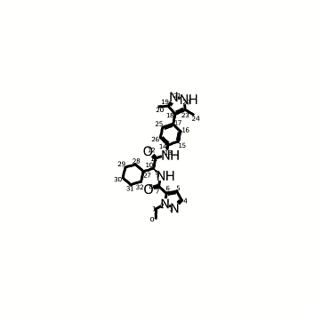 CCn1nccc1C(=O)N[C@H](C(=O)Nc1ccc(-c2c(C)n[nH]c2C)cc1)C1CCCCC1